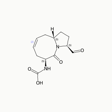 O=C[C@@H]1CC[C@H]2C/C=C\C[C@H](NC(=O)O)C(=O)N21